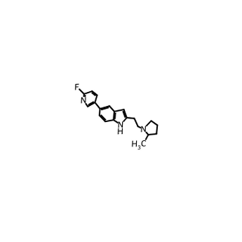 CC1CCCN1CCc1cc2cc(-c3ccc(F)nc3)ccc2[nH]1